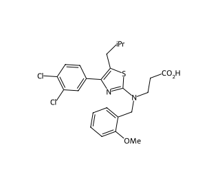 COc1ccccc1CN(CCC(=O)O)c1nc(-c2ccc(Cl)c(Cl)c2)c(CC(C)C)s1